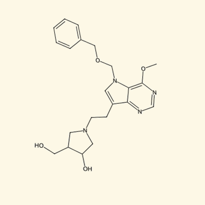 COc1ncnc2c(CCN3CC(O)C(CO)C3)cn(COCc3ccccc3)c12